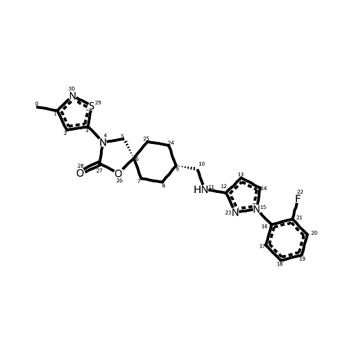 Cc1cc(N2C[C@]3(CC[C@@H](CNc4ccn(-c5ccccc5F)n4)CC3)OC2=O)sn1